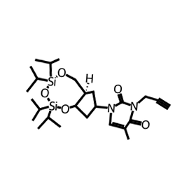 C#CCn1c(=O)c(C)cn(C2CC3O[Si](C(C)C)(C(C)C)O[Si](C(C)C)(C(C)C)OC[C@H]3C2)c1=O